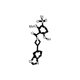 CCS(=O)(=O)c1ccc(OC(C)C)c(C(=O)N2CC(c3ccc4ncoc4c3)C2)c1OC